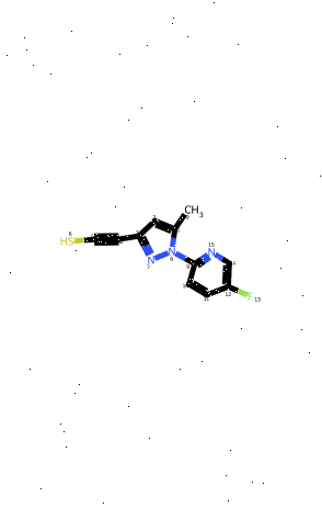 Cc1cc(C#CS)nn1-c1ccc(F)cn1